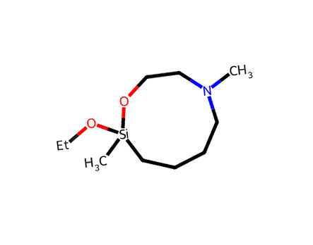 CCO[Si]1(C)CCCCN(C)CCO1